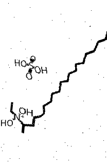 CCCCCCCCCCCCCCCCCCC(C)[N+](O)(O)CC.O=S(=O)(O)O